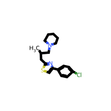 CC(Cc1nc(-c2ccc(Cl)cc2)cs1)CN1CCCCC1